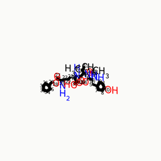 CC(=O)N[C@@H](Cc1ccc(O)cc1)C(=O)N[C@H](C(=O)N[C@@H](CCCC(N)C(=O)OCc1ccccc1)C(=O)O)C(C)C